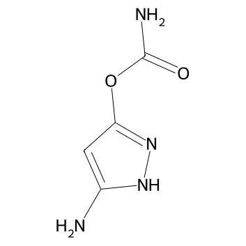 NC(=O)Oc1cc(N)[nH]n1